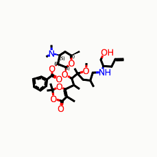 C=CCC(CO)NCC(C)CC(C)(OC)C(O[C@@H]1O[C@H](C)C[C@H](N(C)C)[C@H]1OC(=O)c1ccccc1)C(C)C1=C(C)C(=O)OC(C)(C)O1